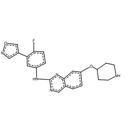 Fc1ccc(Nc2ncc3ccc(OC4CCNCC4)cc3n2)cc1-c1cnoc1